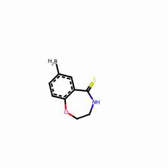 Bc1ccc2c(c1)C(=S)NCCO2